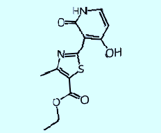 CCOC(=O)c1sc(-c2c(O)cc[nH]c2=O)nc1C